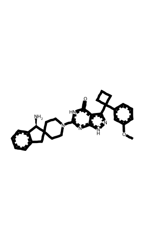 COc1cccc(C2(c3n[nH]c4nc(N5CCC6(CC5)Cc5ccccc5[C@H]6N)[nH]c(=O)c34)CCC2)c1